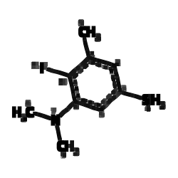 Cc1cc([SiH3])cc(N(C)C)c1F